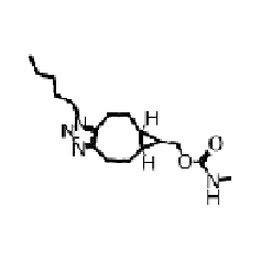 CCCCCn1nnc2c1CC[C@@H]1[C@H](CC2)[C@@H]1COC(=O)NC